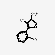 CC1=C(c2ccccc2C(F)(F)F)NCC1C(=O)O